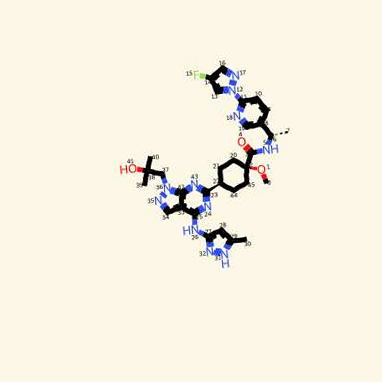 CO[C@]1(C(=O)N[C@@H](C)c2ccc(-n3cc(F)cn3)nc2)CC[C@H](c2nc(Nc3cc(C)[nH]n3)c3cnn(CC(C)(C)O)c3n2)CC1